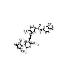 Cc1ccc(C(=O)Nc2ccc(Cl)c(C(F)(F)F)c2)cc1C#Cc1cc(-c2c(C)n[nH]c2C)cnc1N